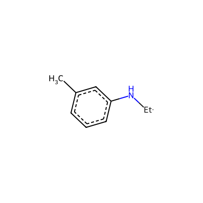 C[CH]Nc1cccc(C)c1